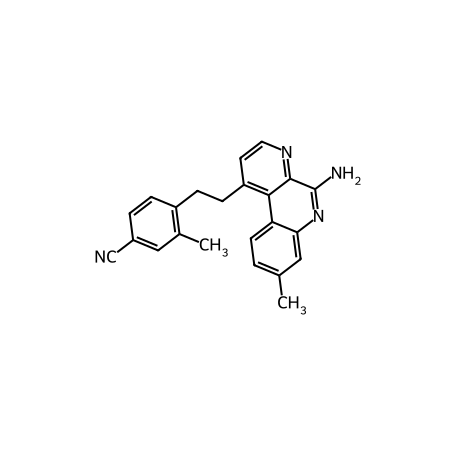 Cc1ccc2c(c1)nc(N)c1nccc(CCc3ccc(C#N)cc3C)c12